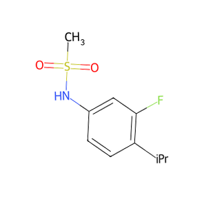 CC(C)c1ccc(NS(C)(=O)=O)cc1F